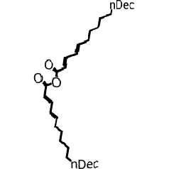 CCCCCCCCCCCCCCCC=CC=CC(=O)OC(=O)C=CC=CCCCCCCCCCCCCCCC